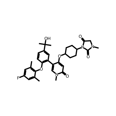 Cc1cc(F)cc(C)c1Oc1ccc(C(C)(C)O)cc1-c1cn(C)c(=O)cc1OC1CCC(N2C(=O)CN(C)C2=O)CC1